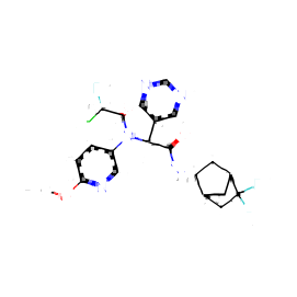 C[C@@](C(=O)N[C@@H]1CC2CC1CC2(F)F)(c1cncnc1)N(C(=O)[C@H](F)Cl)c1ccc(OC(F)(F)F)nc1